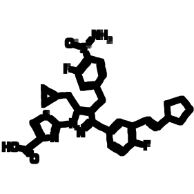 N[S+]([O-])c1ccc(Cc2c(-c3ccc(F)c(/C=C/C4CCCC4)c3)nn(-c3nc(C(=O)O)cs3)c2CC2CC2)cc1F